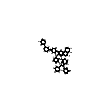 c1ccc(-c2cccc(-c3ccc4c5cc6c(ccc7ccccc76)c6c5n(c4c3)-c3cccc4c3B6c3cccc5c(-c6ccccc6)c(-c6ccccc6)n-4c35)c2)cc1